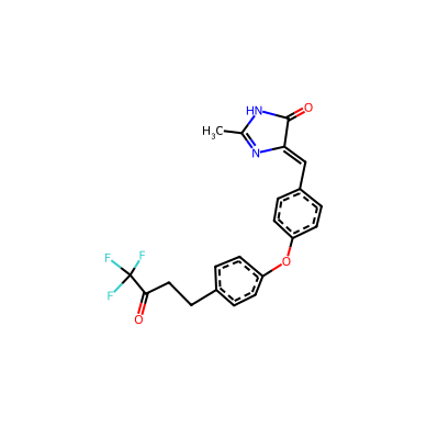 CC1=N/C(=C\c2ccc(Oc3ccc(CCC(=O)C(F)(F)F)cc3)cc2)C(=O)N1